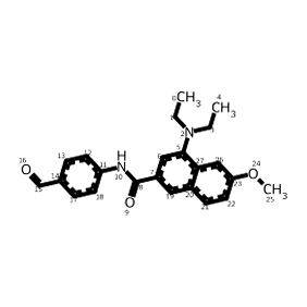 CCN(CC)c1cc(C(=O)Nc2ccc(C=O)cc2)cc2ccc(OC)cc12